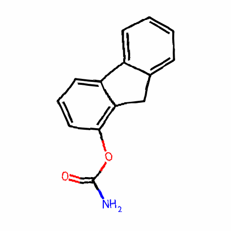 NC(=O)Oc1cccc2c1Cc1ccccc1-2